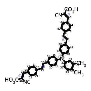 [C-]#[N+]/C(=C\c1ccc(/C=C/c2ccc(N(c3ccc(/C=C/c4ccc(/C=C(\[N+]#[C-])C(=O)O)cc4)cc3)c3ccc(C)c(C)c3)cc2)cc1)C(=O)O